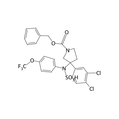 O=C(OCc1ccccc1)N1CCC(c2ccc(Cl)c(Cl)c2)(N(c2ccc(OC(F)(F)F)cc2)S(=O)(=O)O)C1